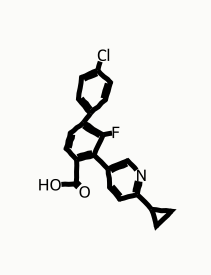 O=C(O)c1ccc(-c2ccc(Cl)cc2)c(F)c1-c1ccc(C2CC2)nc1